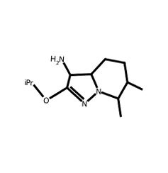 CC(C)OC1=NN2C(C)C(C)CCC2C1N